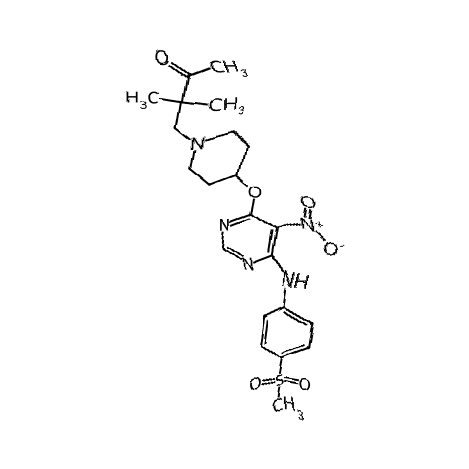 CC(=O)C(C)(C)CN1CCC(Oc2ncnc(Nc3ccc(S(C)(=O)=O)cc3)c2[N+](=O)[O-])CC1